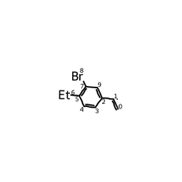 C=[C]c1ccc(CC)c(Br)c1